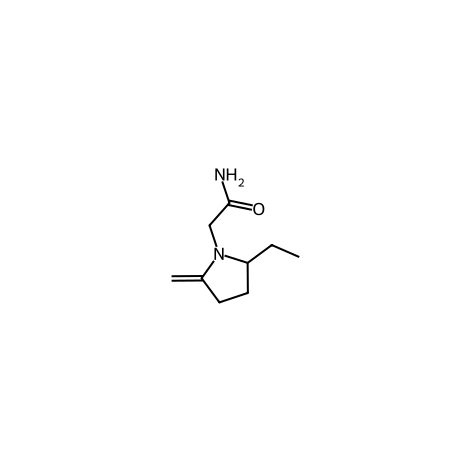 C=C1CCC(CC)N1CC(N)=O